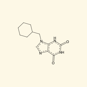 O=c1[nH]c(=O)c2n[c]n(CC3CCCCC3)c2[nH]1